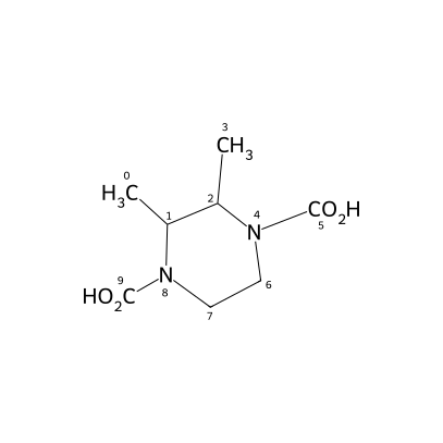 CC1C(C)N(C(=O)O)CCN1C(=O)O